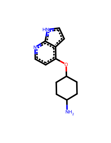 NC1CCC(Oc2ccnc3[nH]ccc23)CC1